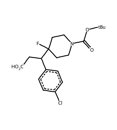 CC(C)(C)OC(=O)N1CCC(F)(C(CC(=O)O)c2ccc(Cl)cc2)CC1